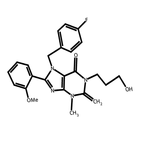 C=C1N(CCCO)C(=O)c2c(nc(-c3ccccc3OC)n2Cc2ccc(F)cc2)N1C